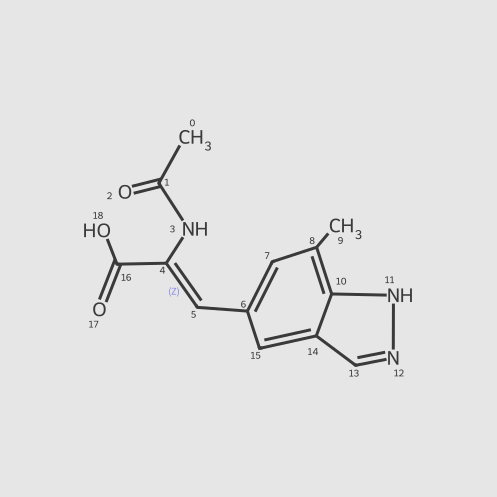 CC(=O)N/C(=C\c1cc(C)c2[nH]ncc2c1)C(=O)O